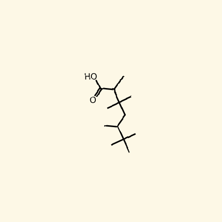 CC(CC(C)(C)C(C)C(=O)O)C(C)(C)C